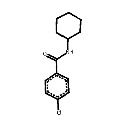 O=C(NC1CCCCC1)c1ccc(Cl)cc1